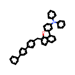 c1ccc(-c2ccc(-c3ccc(Cc4ccc5cccc6c5c4Oc4ccc(N(c5ccccc5)c5ccccc5)cc4-6)cc3)cc2)cc1